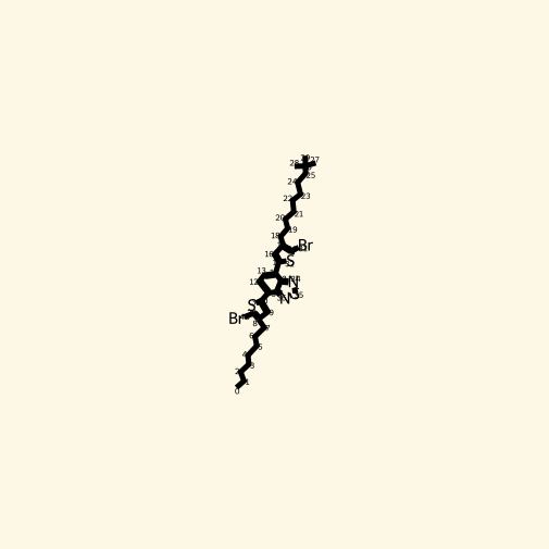 CCCCCCCCc1cc(-c2ccc(-c3cc(CCCCCCCCC(C)(C)C)c(Br)s3)c3nsnc23)sc1Br